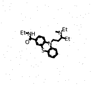 CCNC(=O)c1ccc2c(c1)Sc1ccccc1N2CCC(CC)N(C)CC